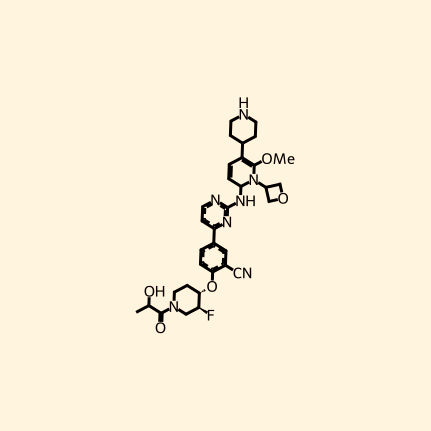 COC1=C(C2CCNCC2)C=CC(Nc2nccc(-c3ccc(O[C@H]4CCN(C(=O)C(C)O)C[C@@H]4F)c(C#N)c3)n2)N1C1COC1